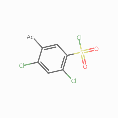 CC(=O)c1cc(S(=O)(=O)Cl)c(Cl)cc1Cl